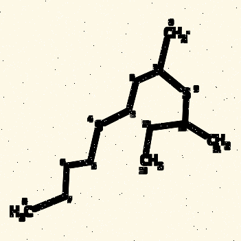 [CH2]C(CCSCCCC)SC(C)CC